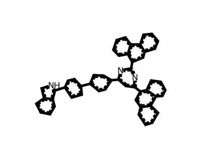 c1ccc2c(-c3ccc(-c4ccc(-c5cc(-c6cc7ccccc7c7ccccc67)nc(-c6cc7ccccc7c7ccccc67)n5)cc4)cc3)[nH]cc2c1